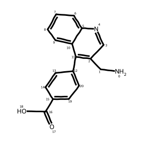 NCc1cnc2ccccc2c1-c1ccc(C(=O)O)cc1